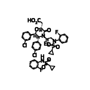 CC[C@@H](CN(c1ccccc1F)S(=O)(=O)C1CC1)N1C(=O)[C@@H](CC(=O)O)O[C@H](c2cccc(Cl)c2)[C@H]1c1ccc(Cl)cc1.O=S(=O)(Nc1ccccc1F)C1CC1